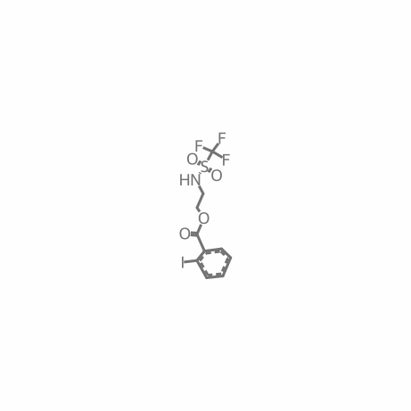 O=C(OCCNS(=O)(=O)C(F)(F)F)c1ccccc1I